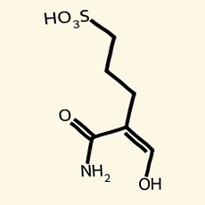 NC(=O)C(=CO)CCCS(=O)(=O)O